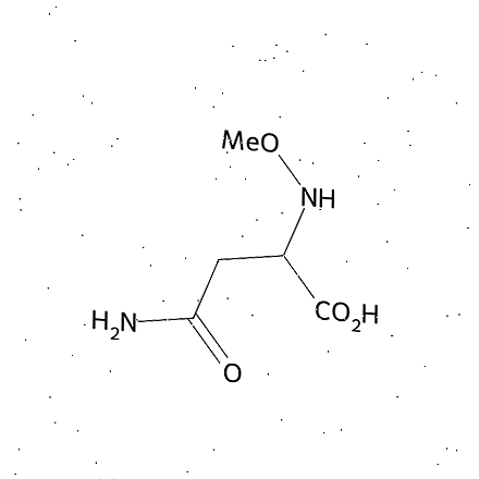 CONC(CC(N)=O)C(=O)O